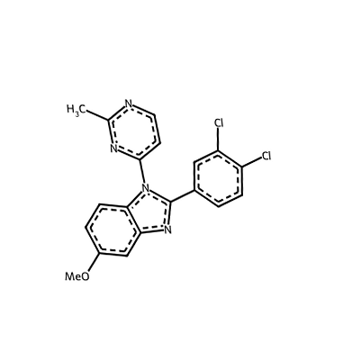 COc1ccc2c(c1)nc(-c1ccc(Cl)c(Cl)c1)n2-c1ccnc(C)n1